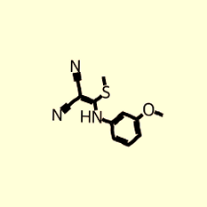 COc1cccc(NC(SC)=C(C#N)C#N)c1